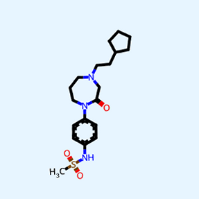 CS(=O)(=O)Nc1ccc(N2CCCN(CCC3CCCC3)CC2=O)cc1